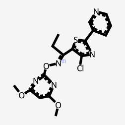 CC/C(=N\Oc1nc(OC)cc(OC)n1)c1sc(-c2cccnc2)nc1Cl